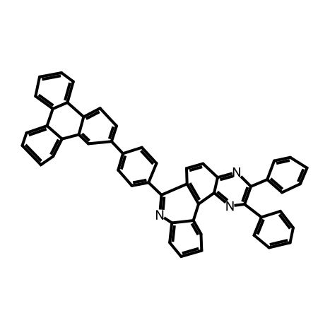 c1ccc(-c2nc3ccc4c(-c5ccc(-c6ccc7c8ccccc8c8ccccc8c7c6)cc5)nc5ccccc5c4c3nc2-c2ccccc2)cc1